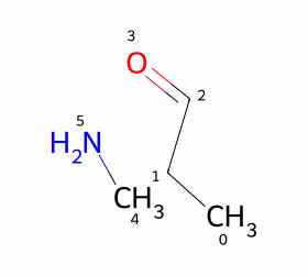 CCC=O.CN